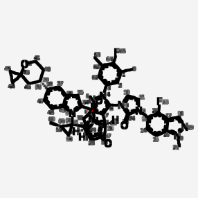 Cc1cc(-n2nc3c(c2-n2ccn(-c4ccc5c(cnn5C)c4F)c2=O)[C@H]2CC[C@@H](C3)N2C(=O)c2cc3cc([C@H]4CCOC5(CC5)C4)ccc3n2[C@]2(c3noc(=O)[nH]3)C[C@H]2C)cc(C)c1F